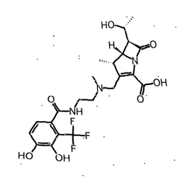 C[C@@H](O)[C@H]1C(=O)N2C(C(=O)O)=C(CN(C)CCNC(=O)c3ccc(O)c(O)c3C(F)(F)F)[C@H](C)[C@H]12